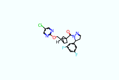 O=C(N1N=CCC1c1cc(F)cc(F)c1)C12CC(C1)[C@H](COc1ncc(Cl)cn1)C2